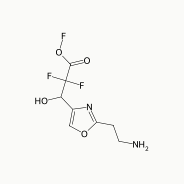 NCCc1nc(C(O)C(F)(F)C(=O)OF)co1